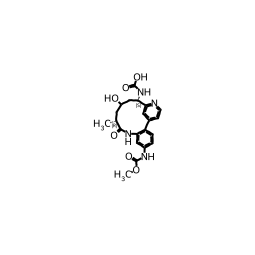 COC(=O)Nc1ccc2c(c1)NC(=O)[C@H](C)CC(O)C[C@H](NC(=O)O)c1cc-2ccn1